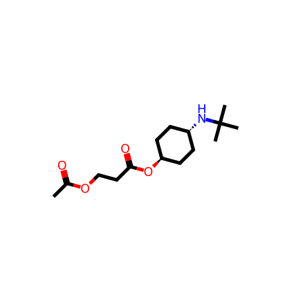 CC(=O)OCCC(=O)O[C@H]1CC[C@H](NC(C)(C)C)CC1